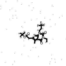 CCn1c(=O)c2c(C)c(CC(=O)OC(C)(C)C)sc2n(CCC(F)(F)F)c1=O